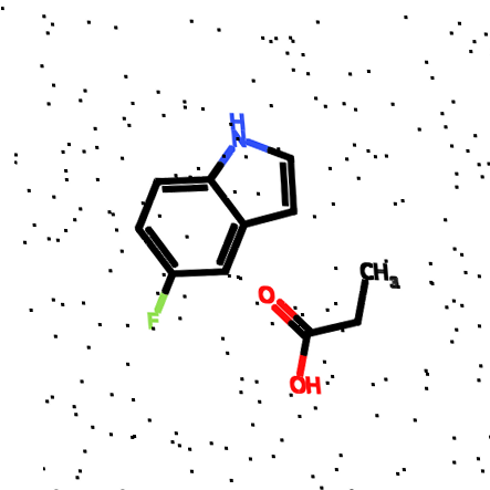 CCC(=O)O.Fc1ccc2[nH]ccc2c1